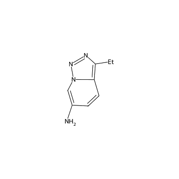 CCc1nnn2cc(N)ccc12